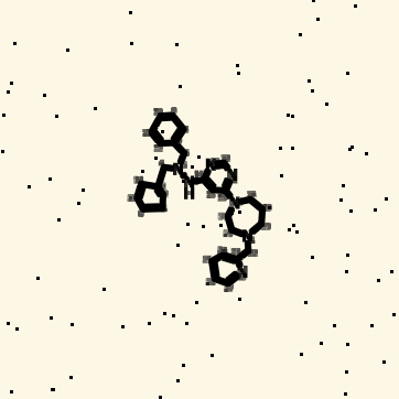 c1ccc(CN(Cc2ccccc2)Nc2cc(N3CCCN(Cc4ccccn4)CC3)ncn2)cc1